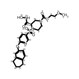 COCCOC(=O)N1CCN(S(=O)(=O)c2ccc(Oc3ccc4c(c3)CCCC4)nc2)[C@@H](C(=O)NO)C1